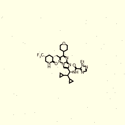 CCn1ncnc1C(=O)N[C@H](c1cn2nc(C[C@H]3C[C@@H](C(F)(F)F)CNC3=O)c(C3CCOCC3)nc2n1)C(C1CC1)C1CC1